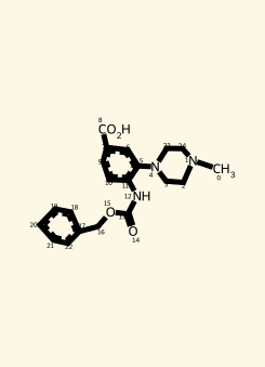 CN1CCN(c2cc(C(=O)O)ccc2NC(=O)OCc2ccccc2)CC1